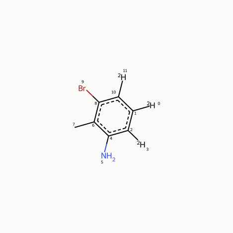 [2H]c1c([2H])c(N)c(C)c(Br)c1[2H]